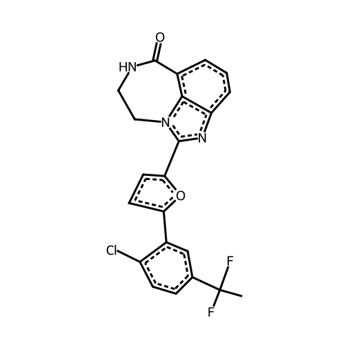 CC(F)(F)c1ccc(Cl)c(-c2ccc(-c3nc4cccc5c4n3CCNC5=O)o2)c1